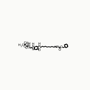 CC(C)(C)OC(=O)NCc1nc2cc(Cl)c(NCCCCCCCCCCCNC(=O)OCc3ccccc3)cc2[nH]1